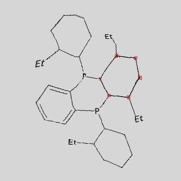 CCC1CCCCC1P(c1ccccc1P(C1CCCCC1CC)C1CCCCC1CC)C1CCCCC1CC